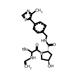 C=CNC(C(=O)N1C[C@H](O)C[C@H]1C(=O)NCc1ccc(-c2scnc2C)cc1)C(C)(C)C